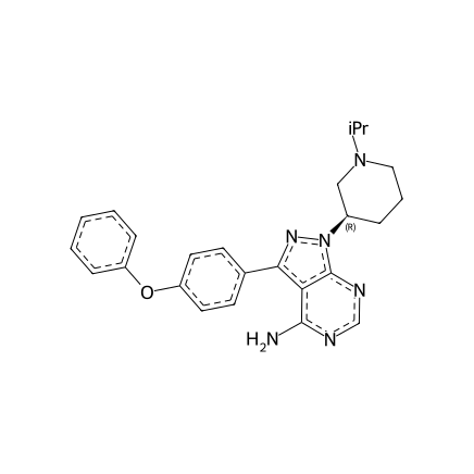 CC(C)N1CCC[C@@H](n2nc(-c3ccc(Oc4ccccc4)cc3)c3c(N)ncnc32)C1